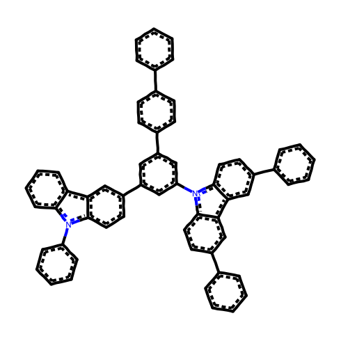 c1ccc(-c2ccc(-c3cc(-c4ccc5c(c4)c4ccccc4n5-c4ccccc4)cc(-n4c5ccc(-c6ccccc6)cc5c5cc(-c6ccccc6)ccc54)c3)cc2)cc1